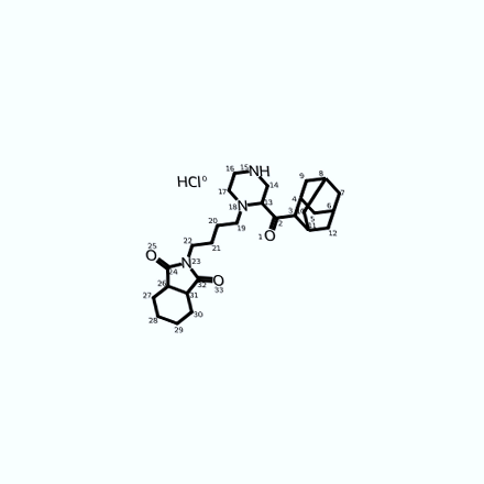 Cl.O=C(C1C2CC3CC(C2)CC1C3)C1CNCCN1CCCCN1C(=O)C2CCCCC2C1=O